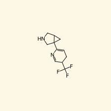 FC(F)(F)C1C=NC(C23CNCC2C3)=CC1